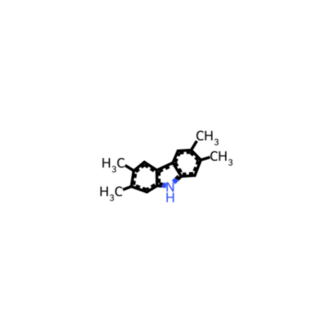 Cc1cc2[nH]c3cc(C)c(C)cc3c2cc1C